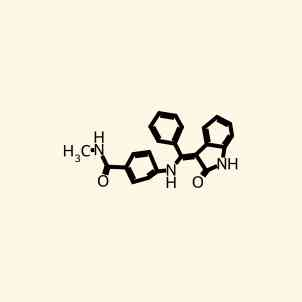 CNC(=O)c1ccc(N/C(=C2\C(=O)Nc3ccccc32)c2ccccc2)cc1